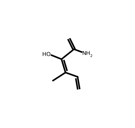 C=C/C(C)=C(/O)C(=C)N